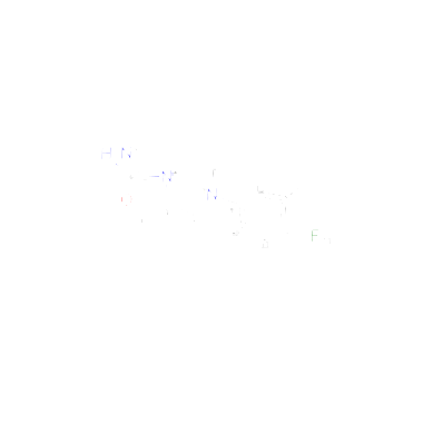 CN(CC1COC(N)=N1)c1ccc(F)cc1